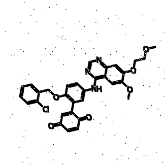 COCCOc1cc2ncnc(Nc3ccc(OCc4ccccc4Cl)c(C4=CC(=O)C=CC4=O)c3)c2cc1OC